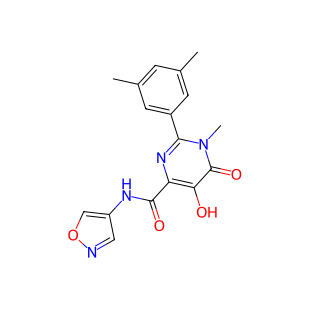 Cc1cc(C)cc(-c2nc(C(=O)Nc3cnoc3)c(O)c(=O)n2C)c1